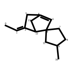 CC=C1CC2=CC3(CCC(C)C3)C1C2